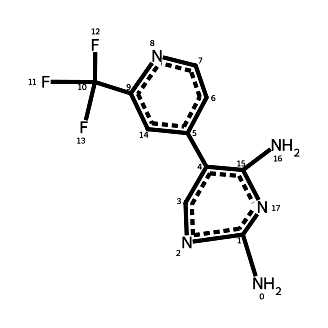 Nc1ncc(-c2ccnc(C(F)(F)F)c2)c(N)n1